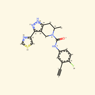 C#Cc1cc(NC(=O)N2Cc3c(-c4cscn4)n[nH]c3CC2C)ccc1F